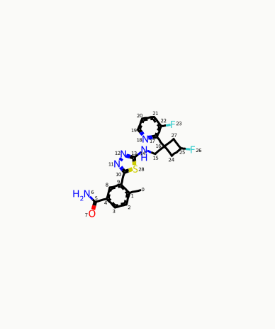 Cc1ccc(C(N)=O)cc1-c1nnc(NCC2(c3ncccc3F)CC(F)C2)s1